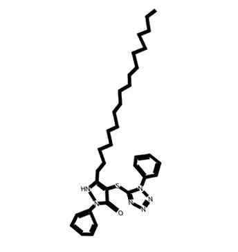 CCCCCCCCCCCCCCCCCCc1[nH]n(-c2ccccc2)c(=O)c1Sc1nnnn1-c1ccccc1